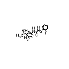 COC(=NC(=O)N(C)C)NC(=O)NSc1ccccc1F